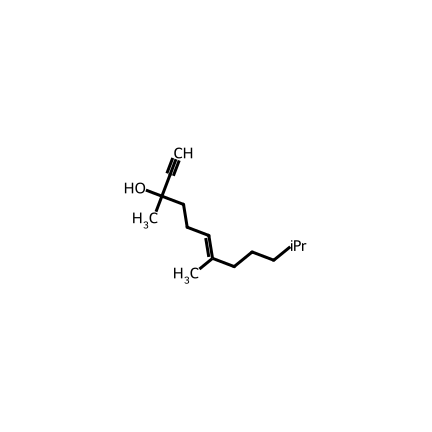 C#CC(C)(O)CCC=C(C)CCCC(C)C